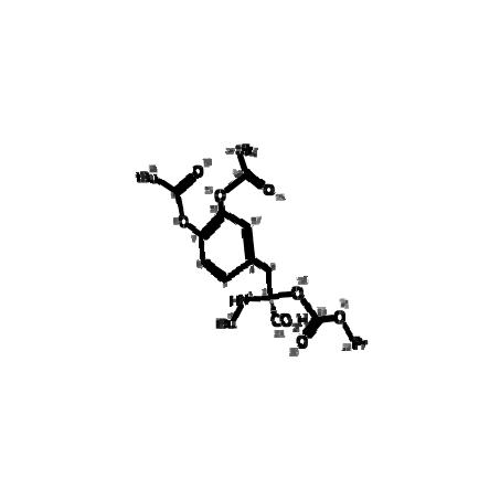 CCC(C)N[C@@](Cc1ccc(OC(=O)C(C)(C)C)c(OC(=O)C(C)(C)C)c1)(OC(=O)OC(C)C)C(=O)O